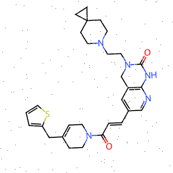 O=C(C=Cc1cnc2c(c1)CN(CCN1CCC3(CC1)CC3)C(=O)N2)N1CC=C(Cc2cccs2)CC1